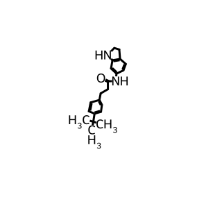 CC(C)(C)c1ccc(CCC(=O)Nc2ccc3c(c2)NCC3)cc1